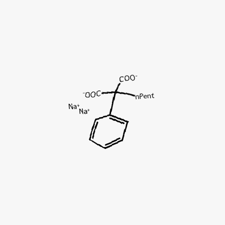 CCCCCC(C(=O)[O-])(C(=O)[O-])c1ccccc1.[Na+].[Na+]